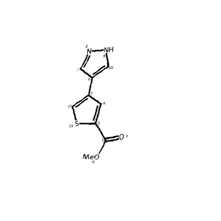 COC(=O)c1cc(-c2cn[nH]c2)cs1